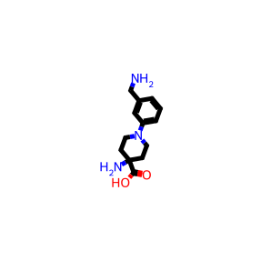 NCc1cccc(N2CCC(N)(C(=O)O)CC2)c1